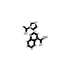 CC(=O)N1C=CSC1.O=C(O)c1ccnc2ccccc12